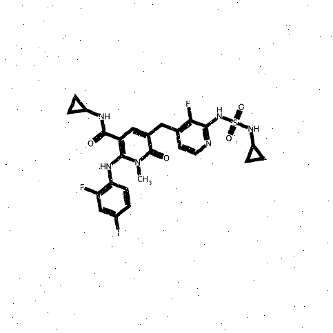 Cn1c(Nc2ccc(I)cc2F)c(C(=O)NC2CC2)cc(Cc2ccnc(NS(=O)(=O)NC3CC3)c2F)c1=O